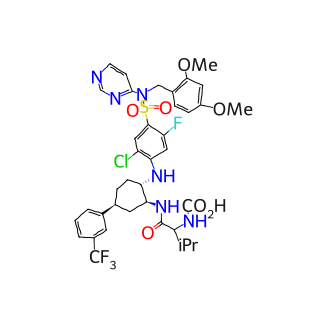 COc1ccc(CN(c2ccncn2)S(=O)(=O)c2cc(Cl)c(N[C@H]3CC[C@H](c4cccc(C(F)(F)F)c4)C[C@@H]3NC(=O)C(NC(=O)O)C(C)C)cc2F)c(OC)c1